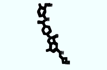 COc1cc(NC(=O)C2CCC(N3Cc4c(C)cc(NCC5CNC5)cc4C3=O)CC2)ccc1C